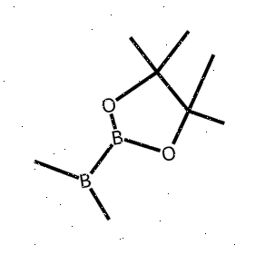 CB(C)B1OC(C)(C)C(C)(C)O1